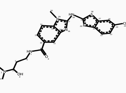 CN(C)C(O)CCNC(=O)c1ccc2c(c1)nc(Nc1nc3ccc(Cl)cc3s1)n2C